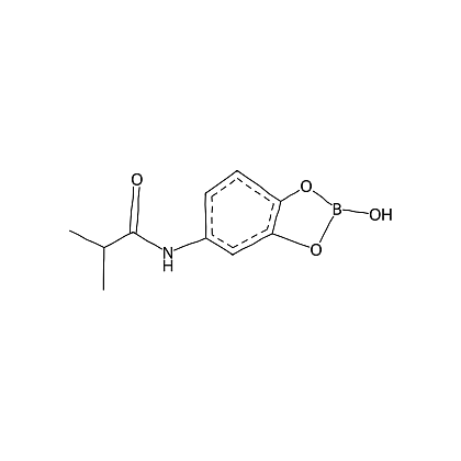 CC(C)C(=O)Nc1ccc2c(c1)OB(O)O2